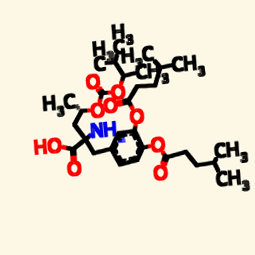 CC(C)CCC(=O)Oc1ccc(CC(N)(C[C@H](C)OC(=O)OC(C)C(C)C)C(=O)O)cc1OC(=O)CCC(C)C